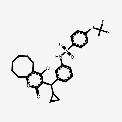 O=c1oc2c(c(O)c1C(c1cccc(NS(=O)(=O)c3ccc(OC(F)(F)F)cc3)c1)C1CC1)CCCCCC2